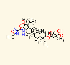 Cc1nc(C(=O)N[C@@]23CC[C@]4(C)C(CCC5[C@@]6(C)CC[C@H](OC(=O)CC(C)(C)C(=O)O)C(C)(C)C6CC[C@]54C)C2=C(C(C)C)C(=O)C3)no1